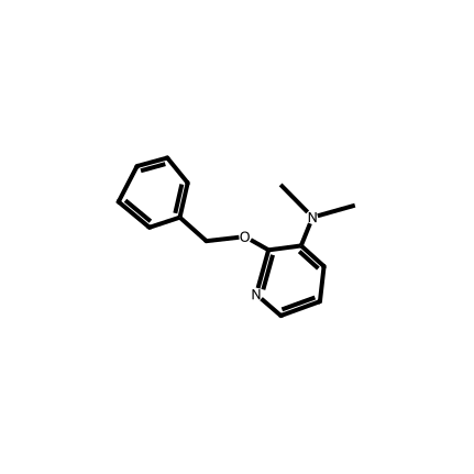 CN(C)c1cccnc1OCc1ccccc1